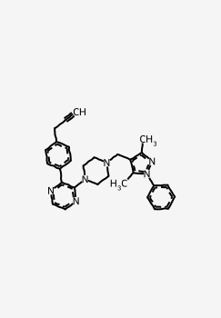 C#CCc1ccc(-c2nccnc2N2CCN(Cc3c(C)nn(-c4ccccc4)c3C)CC2)cc1